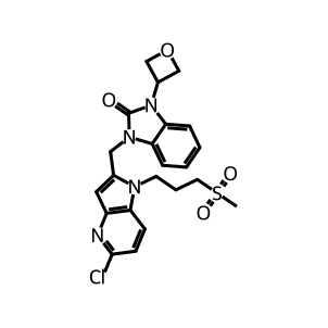 CS(=O)(=O)CCCn1c(Cn2c(=O)n(C3COC3)c3ccccc32)cc2nc(Cl)ccc21